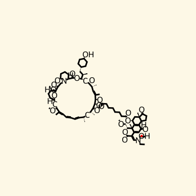 CCN(/C=C1/C(=O)O[C@H](COC)[C@@]2(C)C1=C(O)C(=O)C1=C2[C@H](OC(=O)CCCCCCC(=O)O[C@@H]2/C(C)=C/[C@@H](C)C(=O)C[C@@H]([C@H](C)C[C@H]3CC[C@H](O)CC3)OC(=O)[C@@H]3CCCCN3C(=O)C(=O)[C@]3(O)O[C@@H](CC[C@H]3C)C[C@H](OC)/C(C)=C/C=C/C=C/[C@@H](C)C[C@@H](C)C(=O)[C@@H]2OC)C[C@]2(C)C(=O)CC[C@@H]12)CC